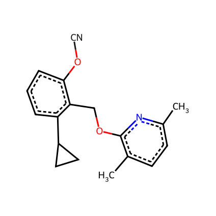 Cc1ccc(C)c(OCc2c(OC#N)cccc2C2CC2)n1